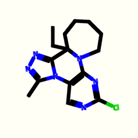 CCC12CCCCCN1c1nc(Cl)ncc1-n1c(C)nnc12